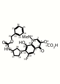 CNn1cc(OC(=O)O)c(=O)c2cc(F)c(N3CCC(NC(=O)OCc4ccccc4)C3)c(O)c21